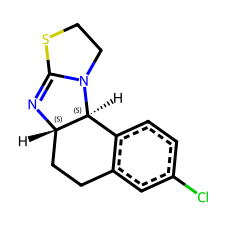 Clc1ccc2c(c1)CC[C@@H]1N=C3SCCN3[C@@H]21